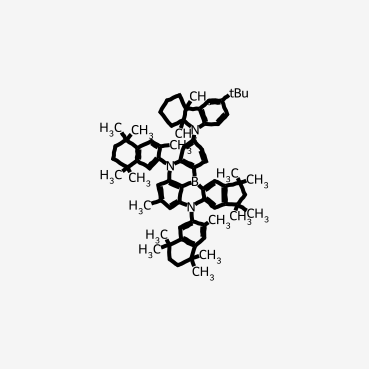 Cc1cc2c3c(c1)N(c1cc4c(cc1C)C(C)(C)CCC4(C)C)c1cc4c(cc1B3c1ccc(N3c5ccc(C(C)(C)C)cc5C5(C)CCCCC35C)cc1N2c1cc2c(cc1C)C(C)(C)CCC2(C)C)C(C)(C)CC4(C)C